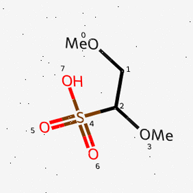 COCC(OC)S(=O)(=O)O